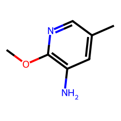 COc1ncc(C)cc1N